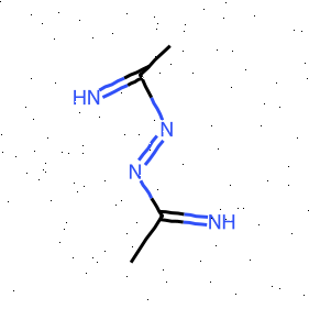 CC(=N)N=NC(C)=N